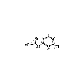 CCCC(Br)Oc1cccc(Cl)c1